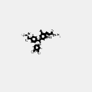 COC(=O)c1cc2c(Br)cc(C(Sc3ccc(Cl)c(Cl)c3)c3ccc(C(=O)N(C)C)cc3)cc2[nH]1